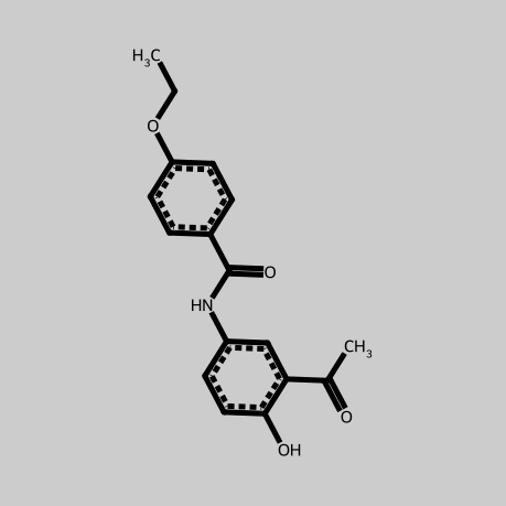 CCOc1ccc(C(=O)Nc2ccc(O)c(C(C)=O)c2)cc1